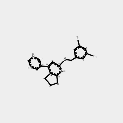 Fc1cc(F)cc(COc2cc(-c3cncnc3)c3c(n2)CCC3)c1